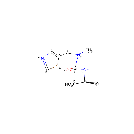 CC(C)[C@H](NC(=O)N(C)Cc1cncs1)C(=O)O